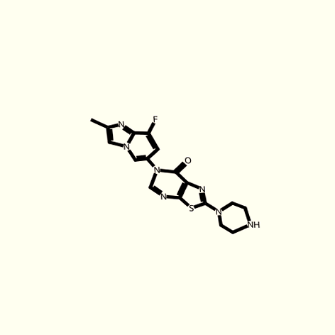 Cc1cn2cc(-n3cnc4sc(N5CCNCC5)nc4c3=O)cc(F)c2n1